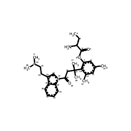 CCC(N)C(=O)Oc1cc(C)cc(C)c1C(C)(C)CC(=O)n1cc(CCN(C)C)c2ccccc21